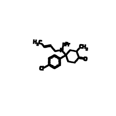 CC=CCN(CCC)C1(c2ccc(Cl)cc2)CCC(=O)C(C)C1